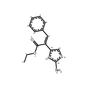 CCOC(=O)C(=Cc1ccccc1)c1csc(N)n1